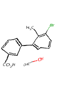 Cc1c(Br)cccc1-c1cccc(C(=O)O)c1.O=CO